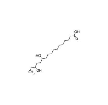 CCC(O)CCC(O)CCCCCCCCCCC(=O)O